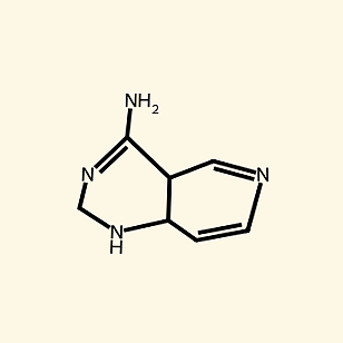 NC1=NCNC2C=CN=CC12